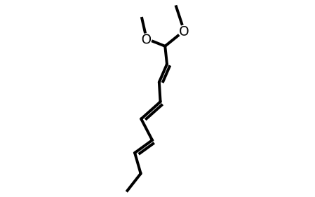 CC/C=C/C=C/C=C/C(OC)OC